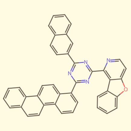 c1ccc2cc(-c3nc(-c4cccc5c4ccc4c6ccccc6ccc54)nc(-c4nccc5oc6ccccc6c45)n3)ccc2c1